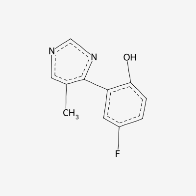 Cc1cncnc1-c1cc(F)ccc1O